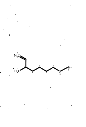 C=CC(C)CCCCS[CH]CC